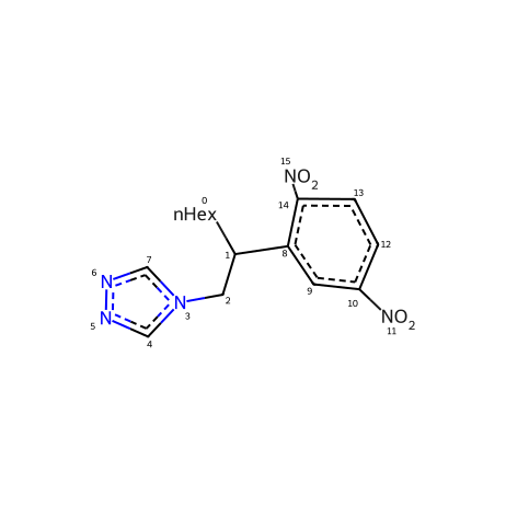 CCCCCCC(Cn1cnnc1)c1cc([N+](=O)[O-])ccc1[N+](=O)[O-]